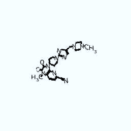 CN1CCN(Cc2cnc(N3CCC(n4c(=O)c(=O)n(C)c5ccc(C#N)nc54)CC3)nc2)CC1